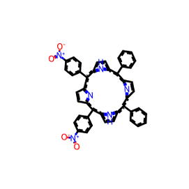 O=[N+]([O-])c1ccc(-c2c3nc(c(-c4ccc([N+](=O)[O-])cc4)c4ccc([nH]4)c(-c4ccccc4)c4nc(c(-c5ccccc5)c5ccc2[nH]5)C=C4)C=C3)cc1